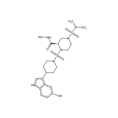 CN(C)S(=O)(=O)N1CCN(S(=O)(=O)N2CCC(c3c[nH]c4ccc(C#N)cc34)CC2)[C@@H](C(=O)NO)C1